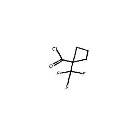 O=C(Cl)C1(C(F)(F)F)CCC1